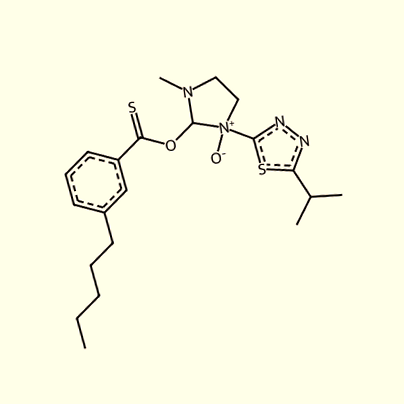 CCCCCc1cccc(C(=S)OC2N(C)CC[N+]2([O-])c2nnc(C(C)C)s2)c1